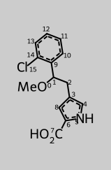 COC(Cc1c[nH]c(C(=O)O)c1)c1ccccc1Cl